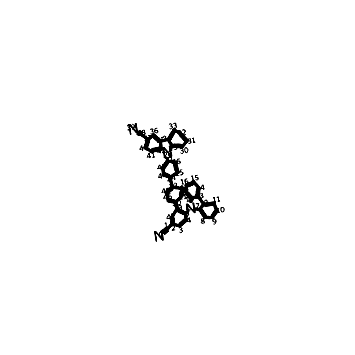 N#Cc1ccc(-n2c3ccccc3c3ccccc32)c(-c2ccc(-c3ccc(-n4c5ccccc5c5cc(C#N)ccc54)cc3)cc2)c1